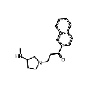 CNC1CCN(CCC(=O)c2ccc3ccccc3c2)C1